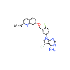 CNc1ccc2ccc(OCc3cc(-n4cc(Cl)c5c(N)ncnc54)ccc3F)cc2n1